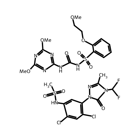 COCCOc1ccccc1S(=O)(=O)NC(=O)Nc1nc(OC)nc(OC)n1.Cc1nn(-c2cc(NS(C)(=O)=O)c(Cl)cc2Cl)c(=O)n1C(F)F